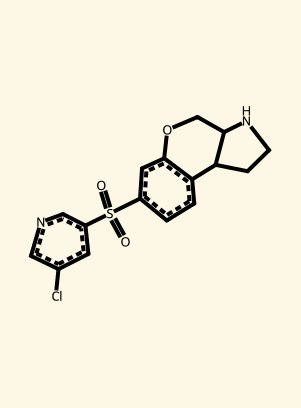 O=S(=O)(c1cncc(Cl)c1)c1ccc2c(c1)OCC1NCCC21